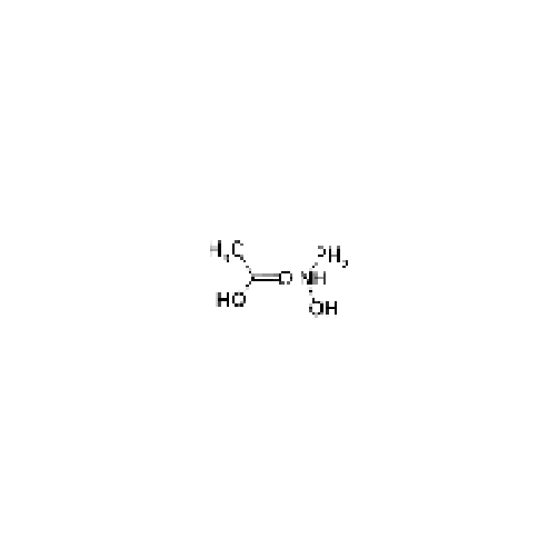 CC(=O)O.ONP